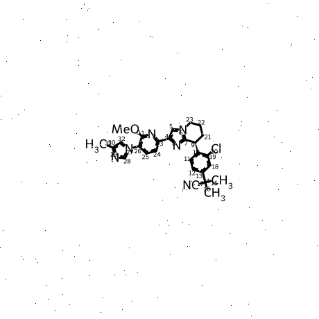 COc1nc(-c2cn3c(n2)[C@H](c2ccc(C(C)(C)C#N)cc2Cl)CCC3)ccc1-n1cnc(C)c1